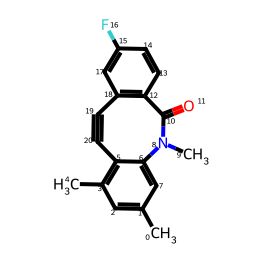 Cc1cc(C)c2c(c1)N(C)C(=O)c1ccc(F)cc1C#C2